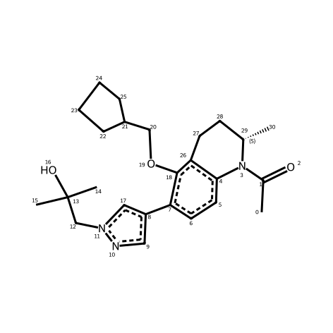 CC(=O)N1c2ccc(-c3cnn(CC(C)(C)O)c3)c(OCC3CCCC3)c2CC[C@@H]1C